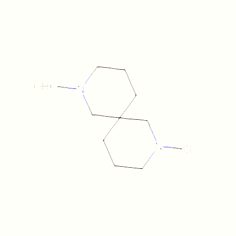 CN1CCCC2(CCCN(C=O)C2)C1